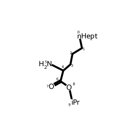 CCCCCCCCCCC(N)C(=O)OC(C)C